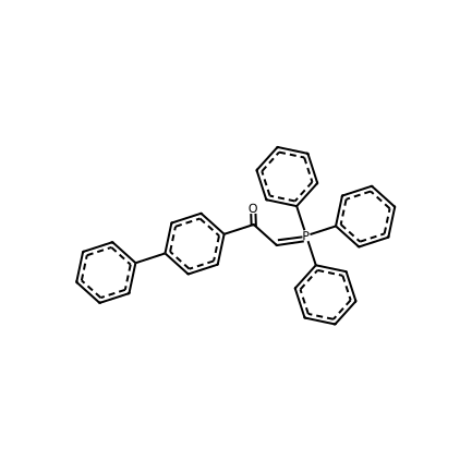 O=C(C=P(c1ccccc1)(c1ccccc1)c1ccccc1)c1ccc(-c2ccccc2)cc1